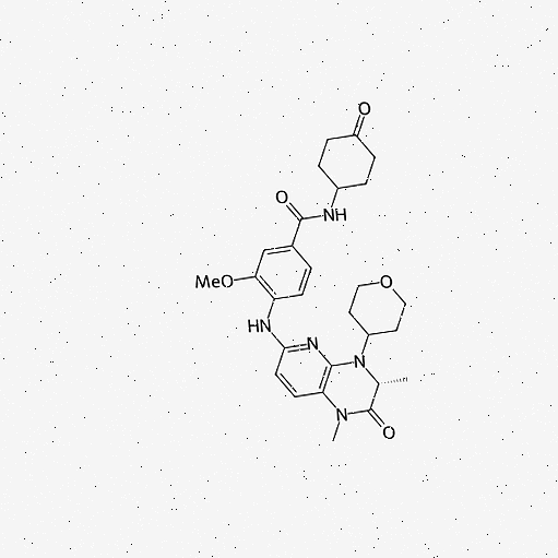 COc1cc(C(=O)NC2CCC(=O)CC2)ccc1Nc1ccc2c(n1)N(C1CCOCC1)[C@H](C)C(=O)N2C